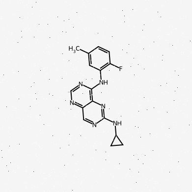 Cc1ccc(F)c(Nc2ncnc3cnc(NC4CC4)nc23)c1